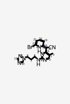 Cc1cnc(NCCCn2cncn2)nc1/C(C#N)=C1/C=CC=C(Br)N1